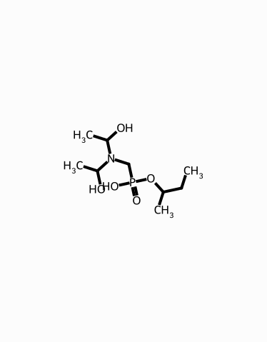 CCC(C)OP(=O)(O)CN(C(C)O)C(C)O